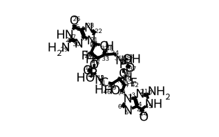 Nc1nc2c(ncn2[C@@H]2O[C@@H]3CNP(=O)(O)O[C@@H]4[C@H](F)[C@H](n5cnc6c(=O)[nH]c(N)nc65)O[C@@H]4CNP(=O)(O)O[C@@H]3[C@@H]2F)c(=O)[nH]1